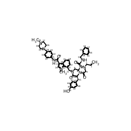 C=CCN1CC(=O)N2C(CN(Cc3cccc4c(C(=O)Nc5ccc(N6CCN(C)CC6)cc5)cn(C)c34)C(=O)[C@@H]2Cc2ccc(O)cc2)N1C(=O)NCc1ccccc1